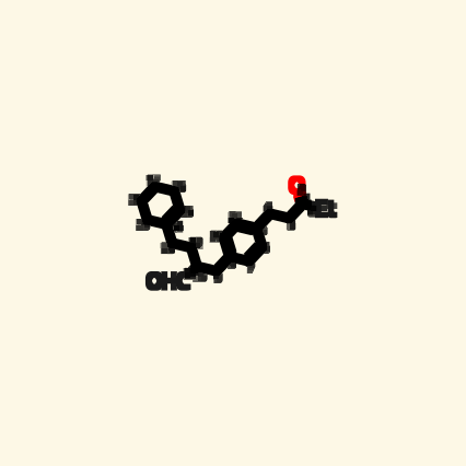 CCC(=O)CCc1ccc(CC(C=O)CCC2=CCCCC2)cc1